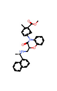 COC(=O)c1cc(N2C(=O)C(CN[C@H](C)c3cccc4ccccc34)Oc3ccccc32)ccc1C